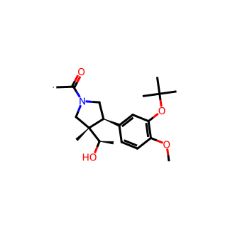 [CH2]C(=O)N1C[C@@H](c2ccc(OC)c(OC(C)(C)C)c2)[C@](C)([C@@H](C)O)C1